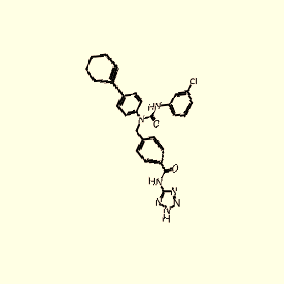 O=C(Nc1nn[nH]n1)c1ccc(CN(C(=O)Nc2cccc(Cl)c2)c2ccc(C3=CCCCC3)cc2)cc1